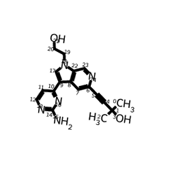 CC(C)(O)C#Cc1cc2c(-c3ccnc(N)n3)cn(CCO)c2cn1